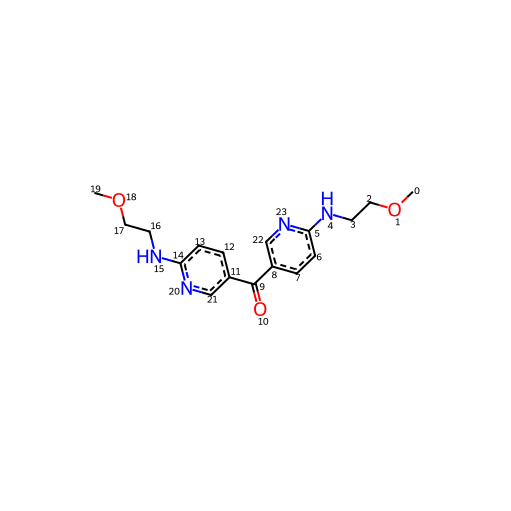 COCCNc1ccc(C(=O)c2ccc(NCCOC)nc2)cn1